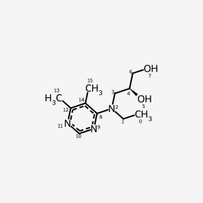 CCN(C[C@H](O)CO)c1ncnc(C)c1C